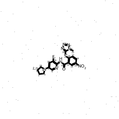 C[C@H]1CCN(c2cnc(NC(=O)c3cc([N+](=O)[O-])ccc3Sc3nnnn3C)c(F)c2)C1